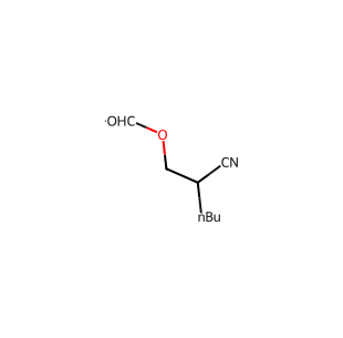 CCCCC(C#N)CO[C]=O